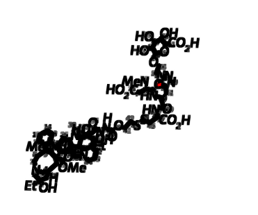 CC[C@]1(O)C[C@H]2CN(CCc3c([nH]c4ccccc34)[C@@](C(=O)OC)(c3cc4c(cc3OC)N(C)[C@H]3[C@@](O)(C(=O)NNC(=O)OCCSSC[C@H](NC(=O)[C@H](Cc5cn(CCO[C@@H]6OC(C(=O)O)C(O)[C@H](O)C6O)nn5)NC(=O)[C@H](CC(=O)O)NC)C(=O)O)[C@H](O)[C@]5(CC)C=CCN6CC[C@]43[C@@H]65)C2)C1